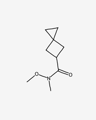 CON(C)C(=O)C1CC2(CC2)C1